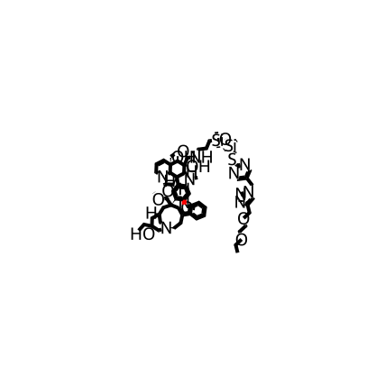 CCOCCOCc1cn(Cc2cnc(SC[Si](C)(C)O[Si](C)(C)CCCNC(=O)[C@@]3(O)[C@H](O)[C@]4(CC)C=CCN5CC[C@@]6(c7cc([C@@]8(C(=O)OC)C[C@H]9C[N@@](CCc%10c8[nH]c8ccccc%108)C[C@](O)(CC)C9)c(OC)cc7N(C)[C@@H]36)[C@@H]54)nc2)nn1